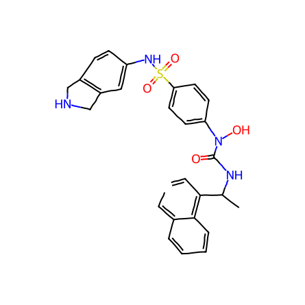 C=C/C(=c1/cccc/c1=C/C)C(C)NC(=O)N(O)c1ccc(S(=O)(=O)Nc2ccc3c(c2)CNC3)cc1